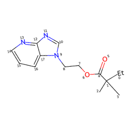 CCC(C)(C)C(=O)OCCn1cnc2ncccc21